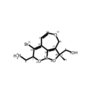 C[C@@]1(CO)OB2OC(CN)C(Br)=C3C=COCC1=C23